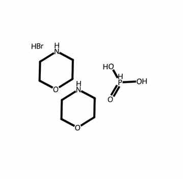 Br.C1COCCN1.C1COCCN1.O=[PH](O)O